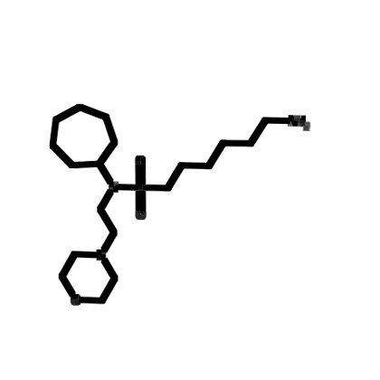 NCCCCCCS(=O)(=O)N(CCN1CCOCC1)C1CCCCCC1